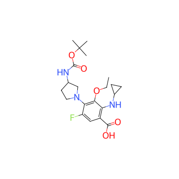 CCOc1c(NC2CC2)c(C(=O)O)cc(F)c1N1CCC(NC(=O)OC(C)(C)C)C1